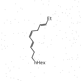 [CH2]CCCCCCC/C=C/C=C\C/C=C/CC